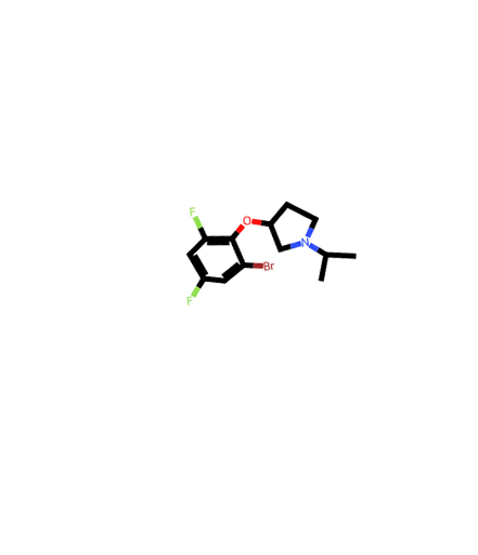 CC(C)N1CCC(Oc2c(F)cc(F)cc2Br)C1